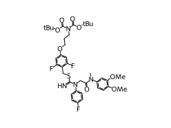 COc1ccc(N(C)C(=O)CN(C(=N)SCc2c(F)cc(OCCCN(C(=O)OC(C)(C)C)C(=O)OC(C)(C)C)cc2F)c2ccc(F)cc2)cc1OC